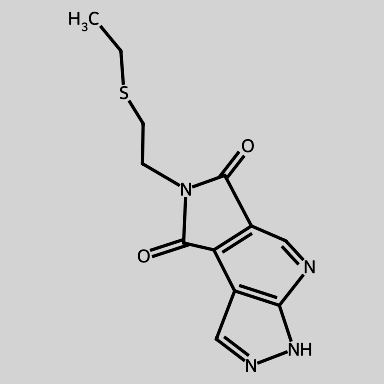 CCSCCN1C(=O)c2cnc3[nH]ncc3c2C1=O